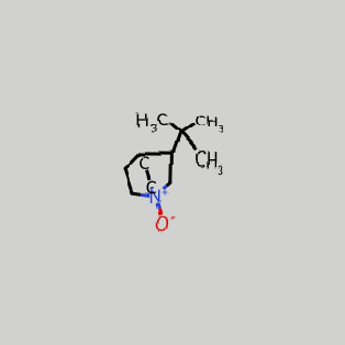 CC(C)(C)C1C[N+]2([O-])CCC1CC2